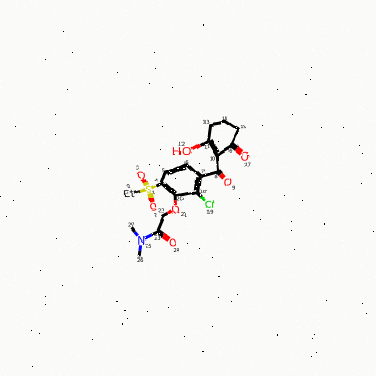 CCS(=O)(=O)c1ccc(C(=O)C2=C(O)CCCC2=O)c(Cl)c1OCC(=O)N(C)C